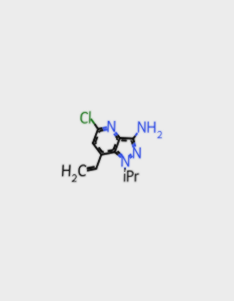 C=Cc1cc(Cl)nc2c(N)nn(C(C)C)c12